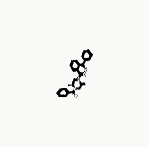 CC1CN(C(=O)c2ccccc2)[C@@H](C)CN1c1nnc(-c2ccccc2)c2ccccc12